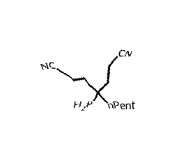 CCCCCC(P)(CCC#N)CCC#N